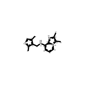 Cc1csc(C)c1CNc1cccn2c(C)c(C)nc12